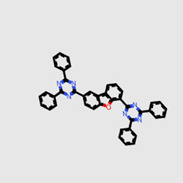 c1ccc(-c2nc(-c3ccccc3)nc(-c3ccc4oc5c(-c6nc(-c7ccccc7)nc(-c7ccccc7)n6)cccc5c4c3)n2)cc1